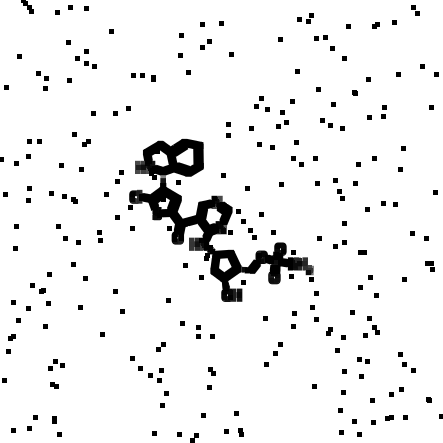 NS(=O)(=O)OC[C@H]1C[C@@H](Nc2ncncc2C(=O)c2cc([C@@H]3NCCc4ccccc43)c(Cl)s2)C[C@@H]1O